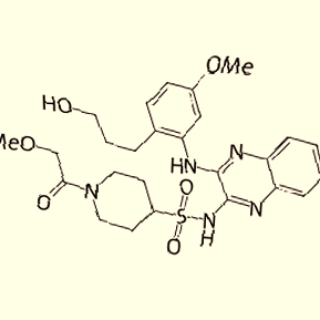 COCC(=O)N1CCC(S(=O)(=O)Nc2nc3ccccc3nc2Nc2cc(OC)ccc2CCCO)CC1